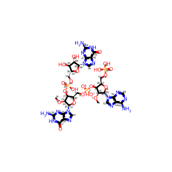 CO[C@H]1C(OP(=O)(O)OC[C@H]2O[C@@H](n3cnc4c(=O)[nH]c(N)nc43)[C@@H](OC)C2OP(=O)(O)OC[C@H]2O[C@@H](n3cnc4c(=O)[nH]c(N)nc43)[C@@H](O)C2O)[C@@H](COP(=O)(O)O)O[C@H]1n1cnc2c(N)ncnc21